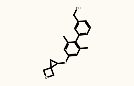 Cc1cc(OC2CC23COC3)cc(C)c1-c1cccc(CO)c1